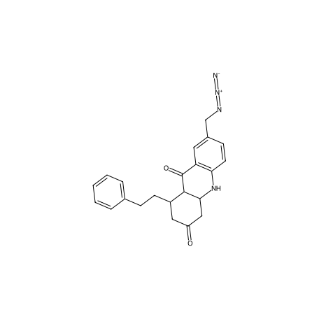 [N-]=[N+]=NCc1ccc2c(c1)C(=O)C1C(CCc3ccccc3)CC(=O)CC1N2